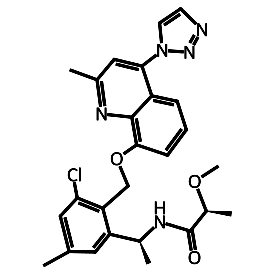 CO[C@@H](C)C(=O)N[C@@H](C)c1cc(C)cc(Cl)c1COc1cccc2c(-n3ccnn3)cc(C)nc12